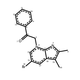 Cc1nc2n(CC(=O)c3ccccc3)cc(Br)cc-2c1C